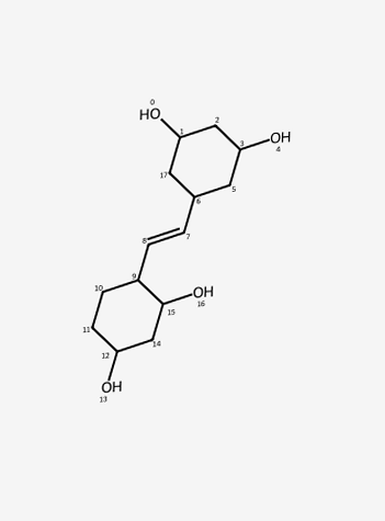 OC1CC(O)CC(/C=C/C2CCC(O)CC2O)C1